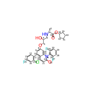 C[C@H](NC[C@H](O)COc1cc(-c2ccc(F)cc2Cl)c2ccc(=O)n(-c3c(F)cccc3F)c2c1)C(=O)OC1CCCC1